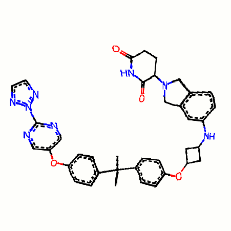 CC(C)(c1ccc(Oc2cnc(-n3nccn3)nc2)cc1)c1ccc(OC2CC(Nc3ccc4c(c3)CN(C3CCC(=O)NC3=O)C4)C2)cc1